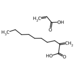 C=C(CCCCCCCC)C(=O)O.C=CC(=O)O